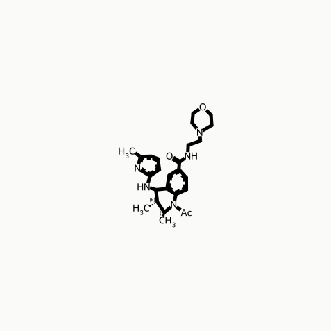 CC(=O)N1c2ccc(C(=O)NCCN3CCOCC3)cc2C(Nc2cccc(C)n2)[C@@H](C)[C@@H]1C